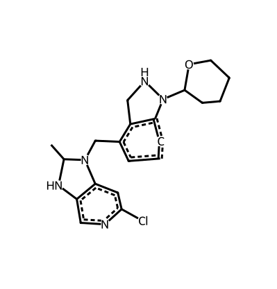 CC1Nc2cnc(Cl)cc2N1Cc1cccc2c1CNN2C1CCCCO1